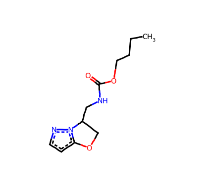 CCCCOC(=O)NCC1COc2ccnn21